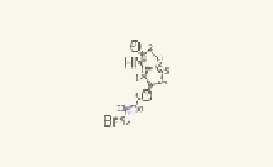 O=C1CCc2ccc(OC/C=C/CBr)cc2N1